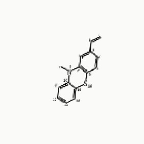 C=Cc1ccc2c(c1)N(C)c1ccccc1S2